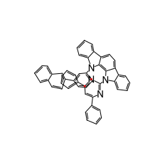 c1ccc(-c2cc(-c3ccccc3)nc(-n3c4ccccc4c4ccc5c6ccccc6n(-c6cccc(-c7ccc8ccccc8c7)c6)c5c43)n2)cc1